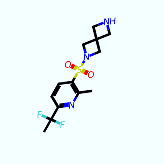 Cc1nc(C(C)(F)F)ccc1S(=O)(=O)N1CC2(CNC2)C1